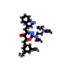 CN(C)CCN(C)C(=O)NC(Cc1c[nH]c2ccccc12)C(=O)CCc1cc(C(F)(F)F)cc(C(F)(F)F)c1